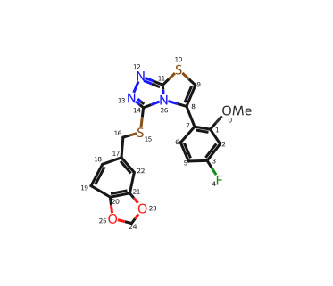 COc1cc(F)ccc1-c1csc2nnc(SCc3ccc4c(c3)OCO4)n12